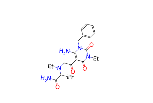 CCN(CC(=O)c1c(N)n(Cc2ccccc2)c(=O)n(CC)c1=O)C(C(N)=O)C(C)C